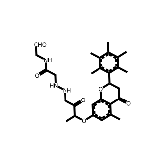 Cc1cc(OC(C)C(=O)CNNCC(=O)NCC=O)cc2c1C(=O)CC(c1c(C)c(C)c(C)c(C)c1C)O2